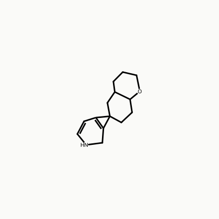 C1=CC2=C(CN1)C21CCC2OCCCC2C1